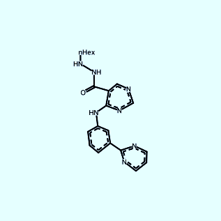 CCCCCCNNC(=O)c1cncnc1Nc1cccc(-c2ncccn2)c1